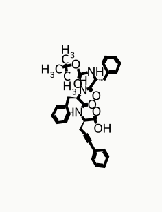 CC(C)(C)OC(=O)N[C@H](Cc1ccccc1)C(=O)N[C@H](Cc1ccccc1)C(=O)N[C@H](CC#Cc1ccccc1)C(=O)O